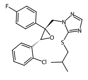 CC(C)CSc1ncnn1C[C@@]1(c2ccc(F)cc2)O[C@@H]1c1ccccc1Cl